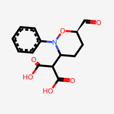 O=C[C@H]1CCC(C(C(=O)O)C(=O)O)N(c2ccccc2)O1